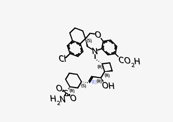 NS(=O)(=O)[C@@H]1CCC[C@H](/C=C/[C@H](O)[C@@H]2CC[C@H]2CN2C[C@@]3(CCCc4cc(Cl)ccc43)COc3ccc(C(=O)O)cc32)C1